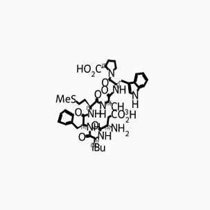 CC[C@H](C)[C@H](NC(=O)[C@@H](N)CC(=O)O)C(=O)N[C@@H](Cc1ccccc1)C(=O)N[C@@H](CCSC)C(=O)N[C@@H](C)C(=O)N[C@@H](Cc1c[nH]c2ccccc12)C(=O)N1CCC[C@H]1C(=O)O